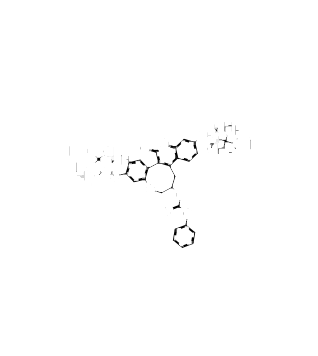 CC(C)(C)[Si](C)(C)Oc1ccc2c(c1)OCC(OC(=S)Oc1ccccc1)Cc1c-2c(=O)oc2cc(O[Si](C)(C)C(C)(C)C)ccc12